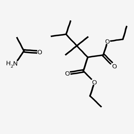 CC(N)=O.CCOC(=O)C(C(=O)OCC)C(C)(C)C(C)C